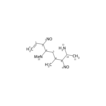 C=CC(N=O)C(CC(C)C(N=O)C(C)N)NC